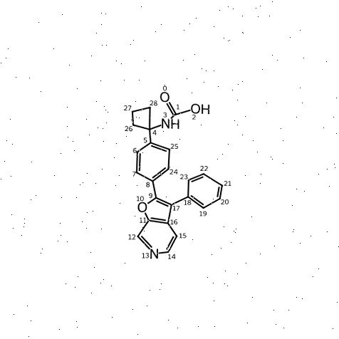 O=C(O)NC1(c2ccc(-c3oc4cnccc4c3-c3ccccc3)cc2)CCC1